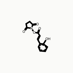 O=C(C=Cc1ccccc1O)ON1C(=O)CCC1=O